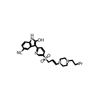 CC(C)CCN1CCN(C=CCS(=O)(=O)c2ccc(-c3c(O)[nH]c4ccc(C#N)cc34)nc2)CC1